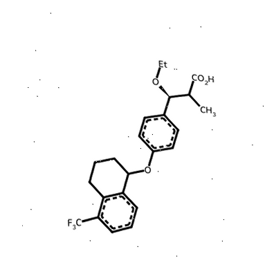 CCO[C@H](c1ccc(OC2CCCc3c2cccc3C(F)(F)F)cc1)C(C)C(=O)O